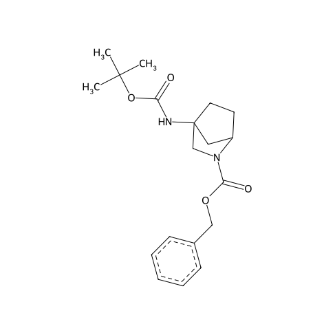 CC(C)(C)OC(=O)NC12CCC(C1)N(C(=O)OCc1ccccc1)C2